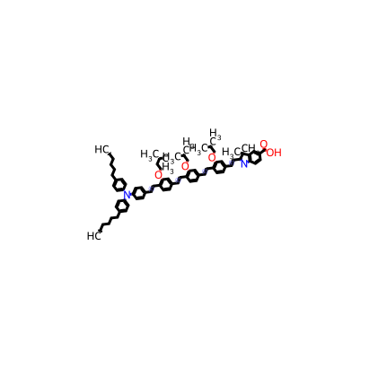 C#CCCCCc1ccc(N(c2ccc(/C=C/c3ccc(/C=C/c4ccc(/C=C/c5ccc(/C=C/C6=Nc7ccc(C(=O)O)cc7C6(C)C)cc5OCC(C)C)cc4OCC(C)C)cc3OCCC(C)C)cc2)c2ccc(CCCCC#C)cc2)cc1